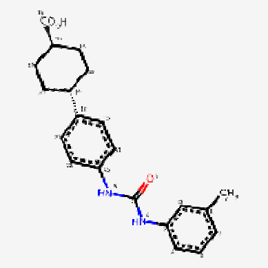 Cc1cccc(NC(=O)Nc2ccc([C@H]3CC[C@H](C(=O)O)CC3)cc2)c1